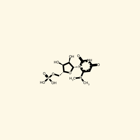 CN(C)c1cc(=O)[nH]c(=O)n1[C@@H]1O[C@H](COP(=O)(O)O)[C@@H](O)[C@H]1O